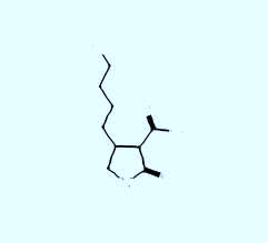 CCCCCC1CNC(=O)C1C(=O)O